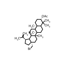 C=C(C)[C@@H]1CC[C@]2(CBr)CC[C@]3(C)C(CCC4[C@@]5(C)CC[C@H](OC(C)=O)C(C)(C)C5CC[C@]43C)C12